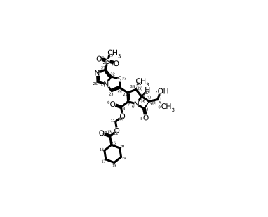 C[C@@H](O)[C@H]1C(=O)N2C(C(=O)OCOC(=O)C3CCCCC3)=C(c3cn4cnc(S(C)(=O)=O)c4s3)[C@H](C)[C@H]12